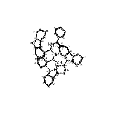 CC(NC(NC(=N)c1ccccc1)c1cccc2oc3ccccc3c12)c1ccccc1-n1c2ccccc2c2ccc(-n3c4ccccc4c4ccccc43)cc21